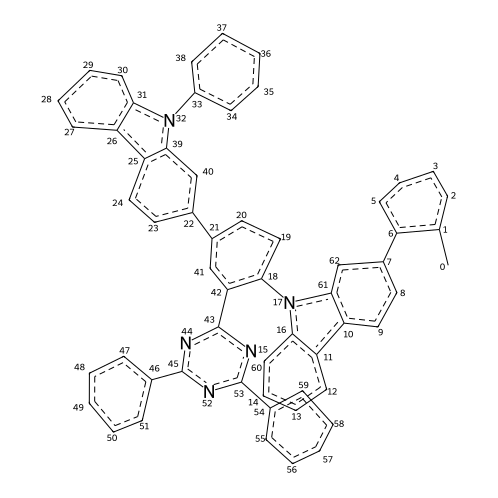 Cc1ccccc1-c1ccc2c3ccccc3n(-c3ccc(-c4ccc5c6ccccc6n(-c6ccccc6)c5c4)cc3-c3nc(-c4ccccc4)nc(-c4ccccc4)n3)c2c1